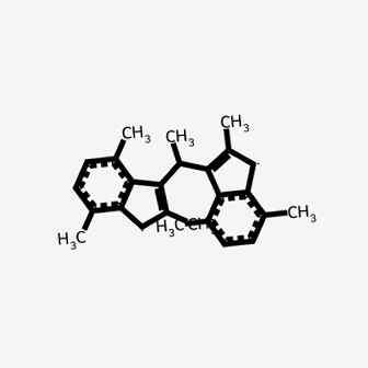 CC1=C(C(C)C2=C(C)[CH]c3c(C)ccc(C)c32)c2c(C)ccc(C)c2[CH]1